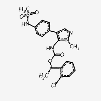 C[C@@H](OC(=O)Nc1c(-c2ccc(NS(C)(=O)=O)cc2)cnn1C)c1ccccc1Cl